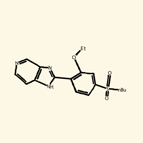 CCCCS(=O)(=O)c1ccc(-c2nc3cnccc3[nH]2)c(OCC)c1